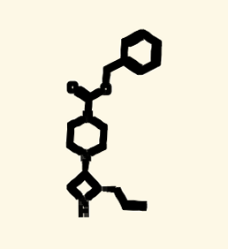 C=CC[C@@H]1NC[C@H]1N1CCN(C(=O)OCc2ccccc2)CC1